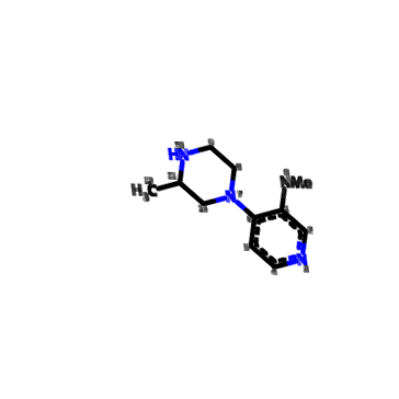 CNc1cnccc1N1CCNC(C)C1